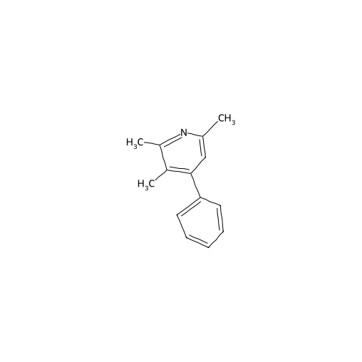 Cc1cc(-c2ccccc2)c(C)c(C)n1